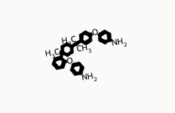 CC1(c2ccccc2Oc2ccc(N)cc2)CCC(C(C)(C)c2ccc(Oc3ccc(N)cc3)cc2)CC1